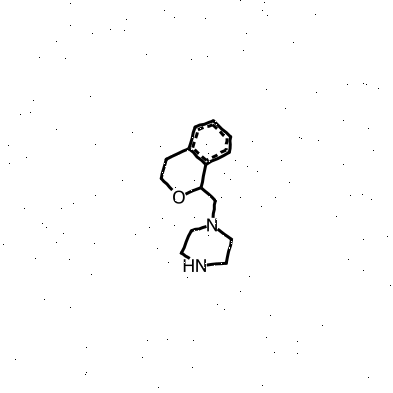 c1ccc2c(c1)CCOC2CN1CCNCC1